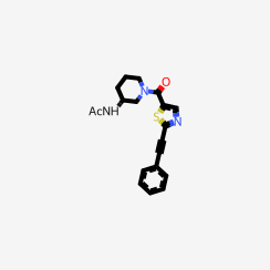 CC(=O)NC1CCCN(C(=O)c2cnc(C#Cc3ccccc3)s2)C1